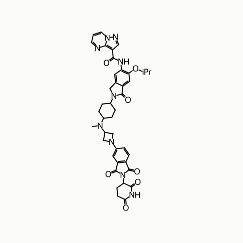 CC(C)Oc1cc2c(cc1NC(=O)c1cnn3cccnc13)CN(C1CCC(N(C)C3CN(c4ccc5c(c4)C(=O)N(C4CCC(=O)NC4=O)C5=O)C3)CC1)C2=O